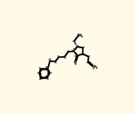 C=CCC1C[C@@H](CN)N(CCCCOc2ccccc2)C1=O